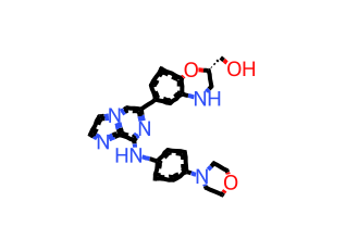 OC[C@@H]1CNc2cc(-c3cn4ccnc4c(Nc4ccc(N5CCOCC5)cc4)n3)ccc2O1